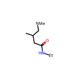 CCNC(=O)CC(C)CNC